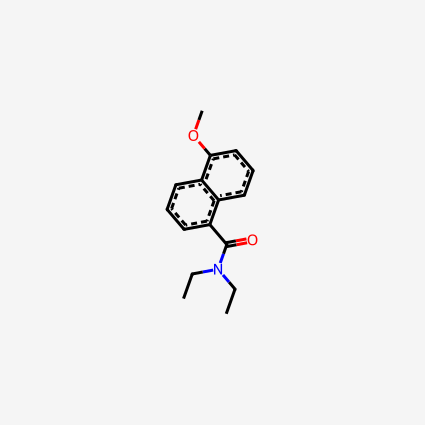 CCN(CC)C(=O)c1cccc2c(OC)cccc12